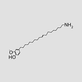 COc1cc(CCCCCCCCCC=CCCCCCCCCN)ccc1O